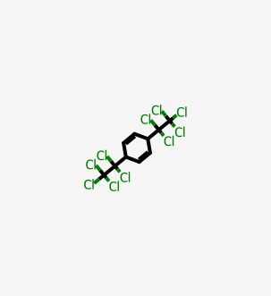 ClC(Cl)(Cl)C(Cl)(Cl)C1C=CC(C(Cl)(Cl)C(Cl)(Cl)Cl)C=C1